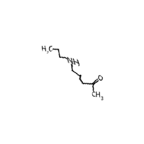 CCCNCCCC(C)=O